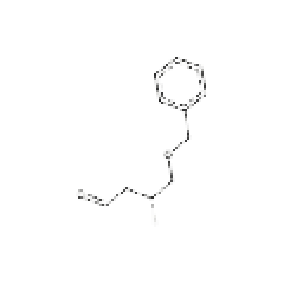 C[C@H](CC=O)COCc1ccccc1